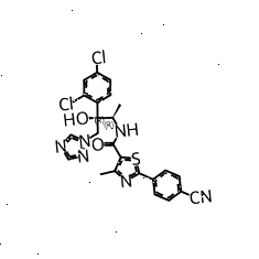 Cc1nc(-c2ccc(C#N)cc2)sc1C(=O)N[C@H](C)[C@](O)(Cn1cncn1)c1ccc(Cl)cc1Cl